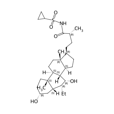 CC[C@H]1[C@@H](O)[C@@H]2[C@H](CC[C@]3(C)[C@@H](CC[C@@H](C)C(=O)NS(=O)(=O)C4CC4)CC[C@@H]23)[C@@]2(C)CC[C@@H](O)C[C@@H]12